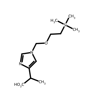 CC(C(=O)O)c1cn(COCC[Si](C)(C)C)cn1